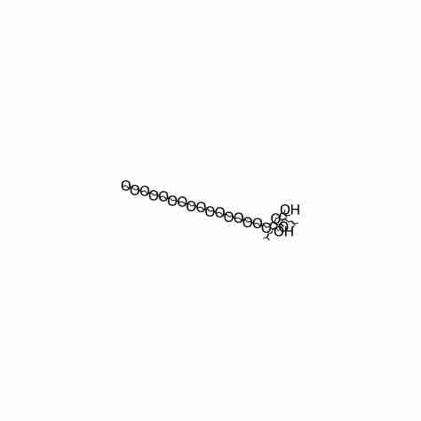 COCCOCCOCCOCCOCCOCCOCCOCCOCCOCCOCCOCCOCCOCCOCCOc1cc2oc3cc(O)c(C)c(CC=C(C)C)c3c(=O)c2c(O)c1CC=C(C)C